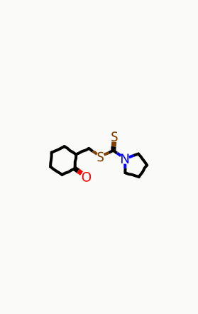 O=C1CCCCC1CSC(=S)N1CCCC1